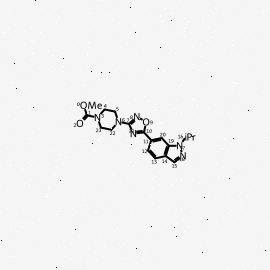 COC(=O)N1CCN(c2noc(-c3ccc4cnn(C(C)C)c4c3)n2)CC1